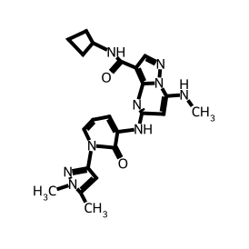 CNc1cc(Nc2cccn(-c3cc(C)n(C)n3)c2=O)nc2c(C(=O)NC3CCC3)cnn12